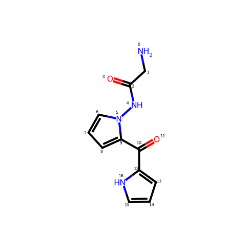 NCC(=O)Nn1cccc1C(=O)c1ccc[nH]1